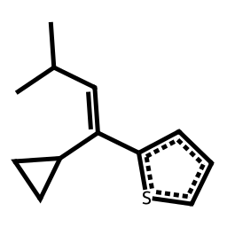 CC(C)/C=C(/c1cccs1)C1CC1